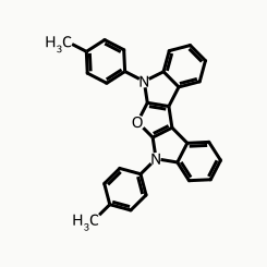 Cc1ccc(-n2c3ccccc3c3c4c5ccccc5n(-c5ccc(C)cc5)c4oc32)cc1